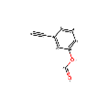 C#Cc1cccc(OC=O)c1